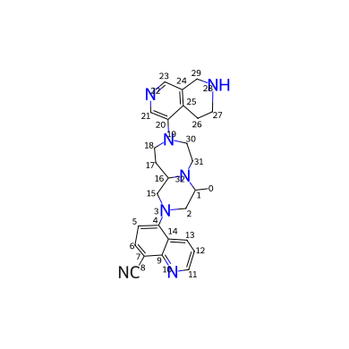 CC1CN(c2ccc(C#N)c3ncccc23)CC2CCN(c3cncc4c3CCNC4)CCN12